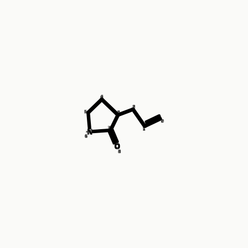 C=CCC1CC[N]C1=O